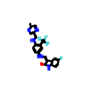 Cc1cnc(CNc2ccc(NC=C3C(=O)Nc4ccc(F)cc43)cc2C(F)(F)F)cn1